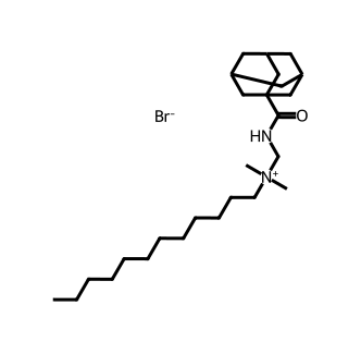 CCCCCCCCCCCC[N+](C)(C)CNC(=O)C12CC3CC(CC(C3)C1)C2.[Br-]